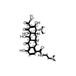 CN(C)CCNC(=O)c1ccc(O)c2c1C[C@H]1C[C@H]3[C@H](N(C)C)C(O)=C(C(N)=O)C(=O)[C@@]3(O)C(O)=C1C2=O